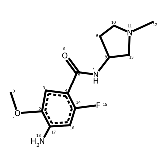 COc1cc(C(=O)NC2CCN(C)C2)c(F)cc1N